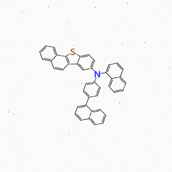 c1ccc2c(-c3ccc(N(c4ccc5sc6c7ccccc7ccc6c5c4)c4cccc5ccccc45)cc3)cccc2c1